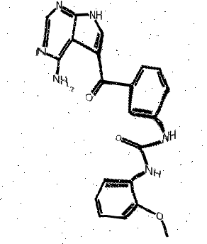 COc1ccccc1NC(=O)Nc1cccc(C(=O)c2c[nH]c3ncnc(N)c23)c1